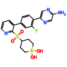 Nc1cnc(-c2ccc(-c3cccnc3S(=O)(=O)C3CCS(O)(O)CC3)cc2F)cn1